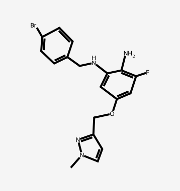 Cn1ccc(COc2cc(F)c(N)c(NCc3ccc(Br)cc3)c2)n1